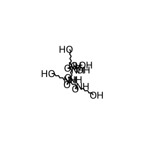 O=C(CCC(NC(=O)CCC(NC(=O)C(O)CO)C(=O)NCCCCCCO)C(=O)NCCCCCCO)NCCCCCCO